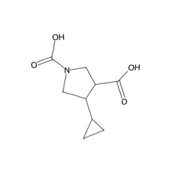 O=C(O)C1CN(C(=O)O)CC1C1CC1